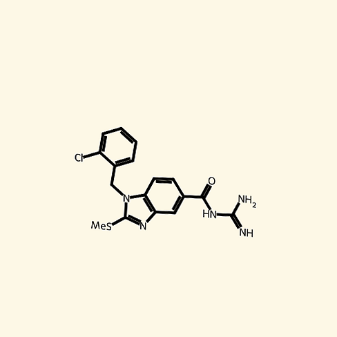 CSc1nc2cc(C(=O)NC(=N)N)ccc2n1Cc1ccccc1Cl